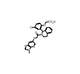 Cn1cnc2cc(OCC(=O)N3CCc4ccccc4C3c3cc(Cl)ccc3OCC(=O)O)cnc21